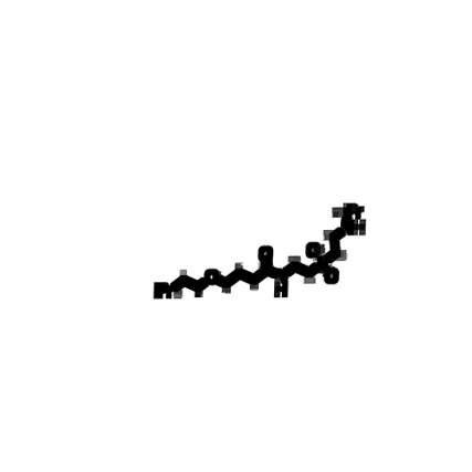 CC(C)CCOCCCC(=O)NCCS(=O)(=O)CCNC(C)C